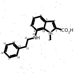 Cn1c(C(=O)O)cc2cccc(NCCc3ccccc3)c21